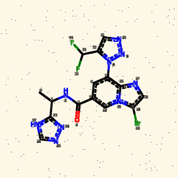 CC(NC(=O)c1cc(-n2nncc2C(F)F)c2ncc(Br)n2c1)c1nnc[nH]1